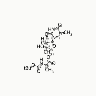 Cc1cn([C@H]2O[C@H](COC(=O)[C@H](C)NC(=O)OC(C)(C)C)[C@@](C)(O)[C@@]2(C)F)c(=O)[nH]c1=O